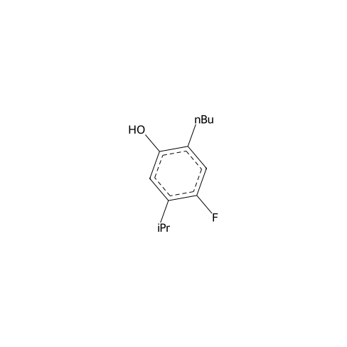 CCCCc1cc(F)c(C(C)C)cc1O